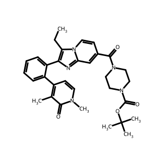 CCc1c(-c2ccccc2-c2ccn(C)c(=O)c2C)nc2cc(C(=O)N3CCN(C(=O)OC(C)(C)C)CC3)ccn12